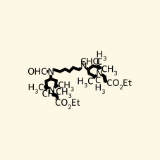 CCOC(=O)C=CN1C(C)(C)CC(N(C=O)CCCCCCN(C=O)C2CC(C)(C)N(C=CC(=O)OCC)C(C)(C)C2)CC1(C)C